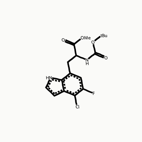 COC(=O)C(Cc1cc(F)c(Cl)c2cc[nH]c12)NC(=O)OC(C)(C)C